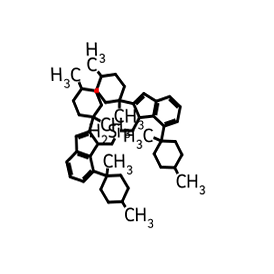 CC1CCC(C)(C2=Cc3cccc(C4(C)CCC(C)CC4)c3C2C[SiH2]CC2C(C3(C)CCC(C)CC3)=Cc3cccc(C4(C)CCC(C)CC4)c32)CC1